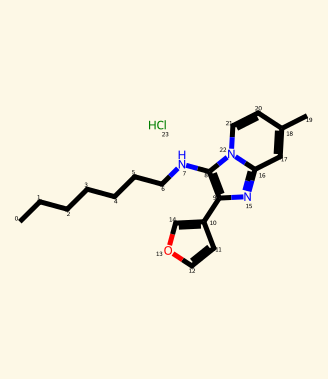 CCCCCCCNc1c(-c2ccoc2)nc2cc(C)ccn12.Cl